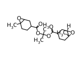 CC(C)(OC(=O)C1CCC2(C)OC2C1)OC(=O)C1CCC2(C)O[C@H]2C1